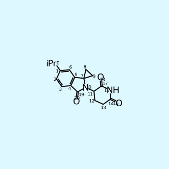 CC(C)c1ccc2c(c1)C1(CC1)N(C1CCC(=O)NC1=O)C2=O